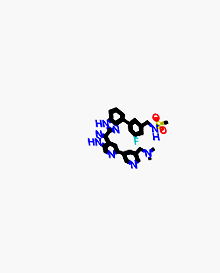 CN(C)Cc1cncc(-c2cc3c(-c4nc5c(-c6cc(F)cc(CNS(C)(=O)=O)c6)cccc5[nH]4)n[nH]c3cn2)c1